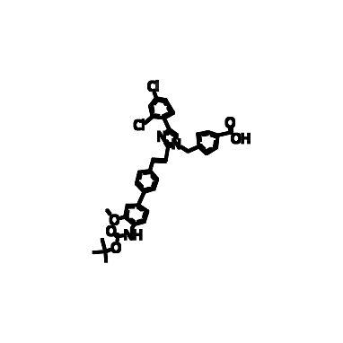 COc1cc(-c2ccc(/C=C/c3nc(-c4ccc(Cl)cc4Cl)cn3Cc3ccc(C(=O)O)cc3)cc2)ccc1NC(=O)OC(C)(C)C